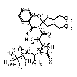 CCCCC1(CCCC)Oc2ccccc2C(=O)N1C(=O)[C@H](C)[C@H]1NC(=O)[C@@H]1C(C)O[Si](C)(C)C(C)(C)C